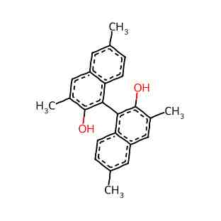 Cc1ccc2c(-c3c(O)c(C)cc4cc(C)ccc34)c(O)c(C)cc2c1